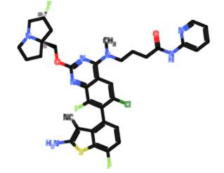 CN(CCCC(=O)Nc1ccccn1)c1nc(OC[C@@]23CCCN2C[C@H](F)C3)nc2c(F)c(-c3ccc(F)c4sc(N)c(C#N)c34)c(Cl)cc12